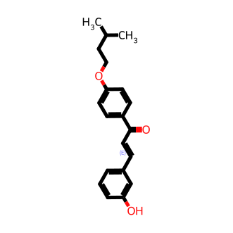 CC(C)CCOc1ccc(C(=O)/C=C/c2cccc(O)c2)cc1